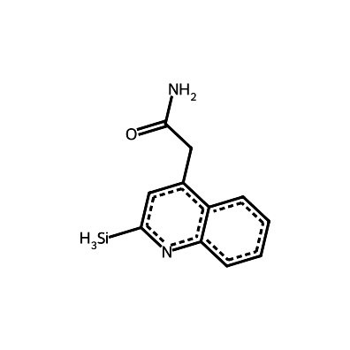 NC(=O)Cc1cc([SiH3])nc2ccccc12